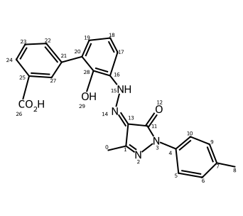 CC1=NN(c2ccc(C)cc2)C(=O)C1=NNc1cccc(-c2cccc(C(=O)O)c2)c1O